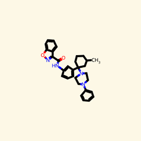 CC1CCCC(c2cccc(NC(=O)c3noc4ccccc34)c2)(N2CCN(c3ccccc3)CC2)C1